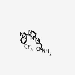 NC(=O)CC1CN(c2ccnc(-c3cnc4ccc(C(F)(F)F)cn34)n2)C1